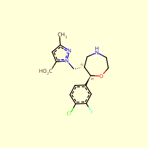 Cc1cc(C(=O)O)n(C[C@@H]2CNCCO[C@H]2c2ccc(Cl)c(F)c2)n1